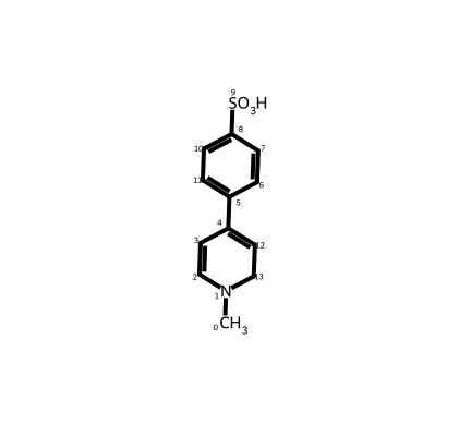 CN1C=CC(c2ccc(S(=O)(=O)O)cc2)=CC1